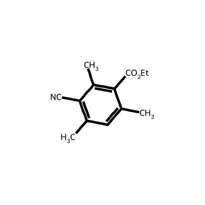 CCOC(=O)c1c(C)cc(C)c(C#N)c1C